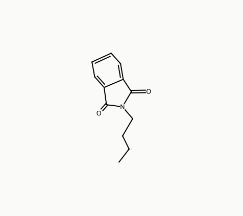 C[CH]CCN1C(=O)c2ccccc2C1=O